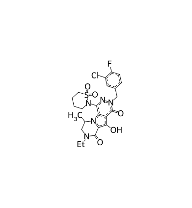 CCN1CC(C)n2c(c(O)c3c(=O)n(Cc4ccc(F)c(Cl)c4)nc(N4CCCCS4(=O)=O)c32)C1=O